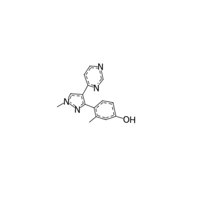 Cc1cc(O)ccc1-c1nn(C)cc1-c1ccncn1